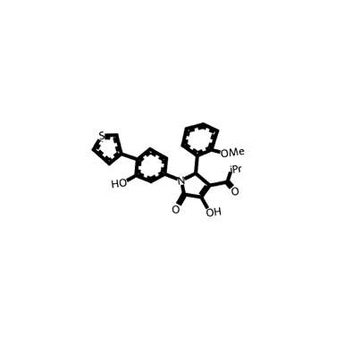 COc1ccccc1C1C(C(=O)C(C)C)=C(O)C(=O)N1c1ccc(-c2ccsc2)c(O)c1